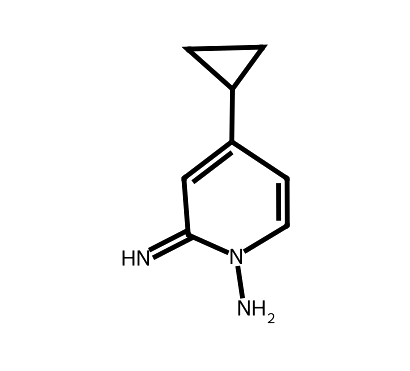 N=c1cc(C2CC2)ccn1N